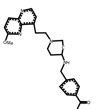 COc1ccc2nccc(CCN3CCC(NCc4ccc(C(N)=O)cc4)CC3)c2n1